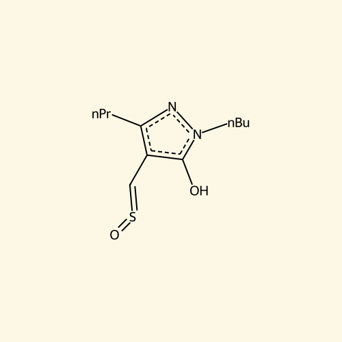 CCCCn1nc(CCC)c(C=S=O)c1O